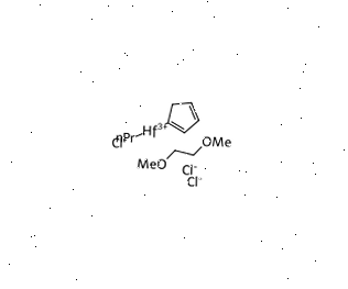 CC[CH2][Hf+3][C]1=CC=CC1.COCCOC.[Cl-].[Cl-].[Cl-]